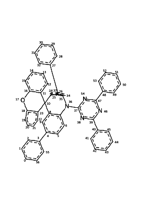 c1ccc(-c2ccc3c(c2)C2(c4ccccc4Oc4ccccc42)c2cc(-c4ccccc4)ccc2N3c2nc(-c3ccccc3)nc(-c3ccccc3)n2)cc1